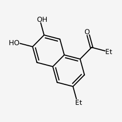 CCC(=O)c1cc(CC)cc2cc(O)c(O)cc12